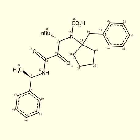 CCCC[C@@H](C(=O)C(=O)N[C@H](C)c1ccccc1)N(C(=O)O)C1(Cc2ccccc2)CCCC1